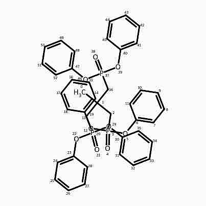 CC(CP(=O)(Oc1ccccc1)Oc1ccccc1)(CP(=O)(Oc1ccccc1)Oc1ccccc1)CP(=O)(Oc1ccccc1)Oc1ccccc1